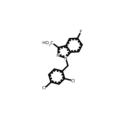 O=C(O)c1nn(Cc2ccc(Cl)cc2Cl)c2ccc(F)cc12